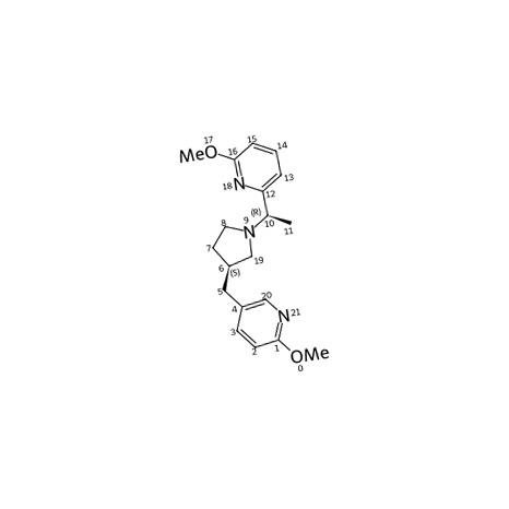 COc1ccc(C[C@H]2CCN([C@H](C)c3cccc(OC)n3)C2)cn1